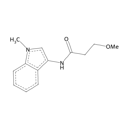 COCCC(=O)Nc1cn(C)c2ccccc12